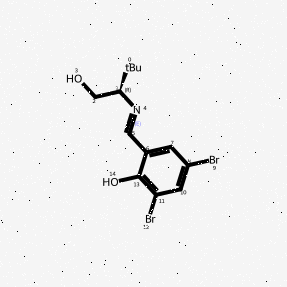 CC(C)(C)[C@H](CO)/N=C/c1cc(Br)cc(Br)c1O